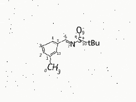 Cc1cccc(C=N[S+]([O-])C(C)(C)C)c1